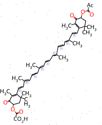 CC(=O)C(=O)OC1CC(C)(C)C(/C=C/C(C)=C/C=C/C(C)=C/C=C/C=C(C)/C=C/C=C(C)/C=C/C2=C(C)C(=O)C(OC(=O)C(=O)O)CC2(C)C)=C(C)C1=O